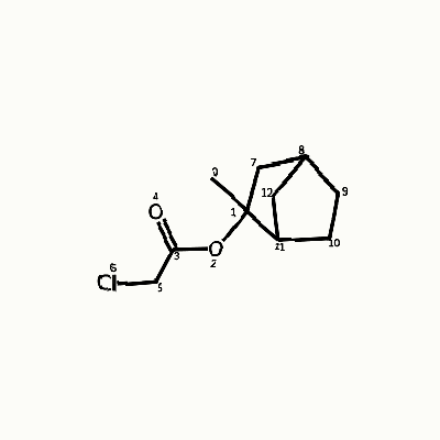 CC1(OC(=O)CCl)CC2CCC1C2